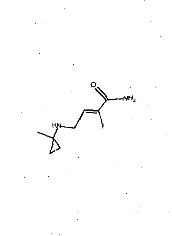 CC1(NCC=C(F)C(N)=O)CC1